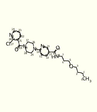 CCCCOCCCNC(=O)c1ccc(N2CCN(C(=O)c3cccnc3Cl)CC2)nc1